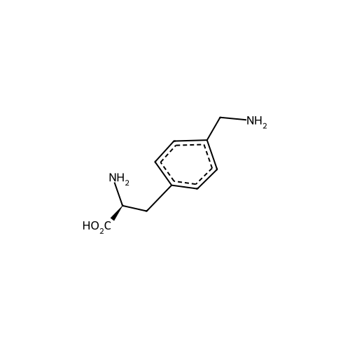 NCc1ccc(C[C@H](N)C(=O)O)cc1